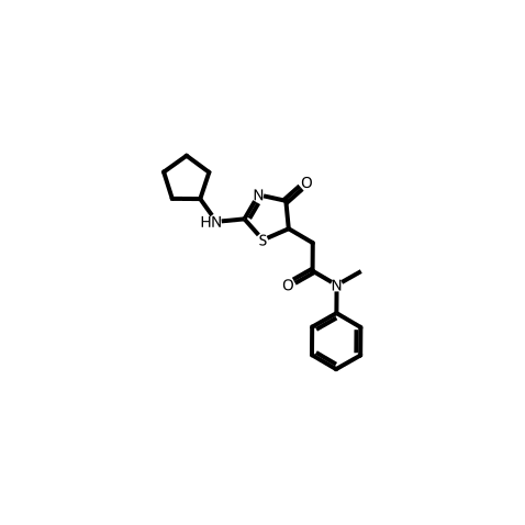 CN(C(=O)CC1SC(NC2CCCC2)=NC1=O)c1ccccc1